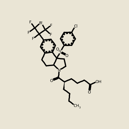 CCCC[C@H](CCCC(=O)O)C(=O)N1CCC2(S(=O)(=O)c3ccc(Cl)cc3)c3ccc(C(F)(C(F)(F)F)C(F)(F)F)cc3CCC12